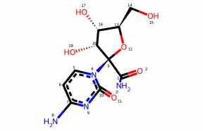 NC(=O)[C@@]1(n2ccc(N)nc2=O)O[C@H](CO)[C@@H](O)[C@H]1O